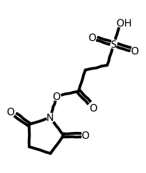 O=C(CCS(=O)(=O)O)ON1C(=O)CCC1=O